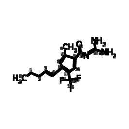 CCCC=Cc1cc(C)c(C(=O)N=C(N)N)cc1C(F)(F)F